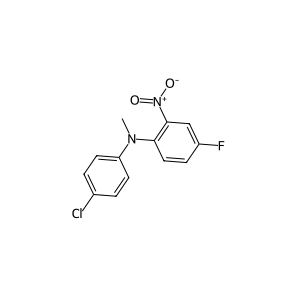 CN(c1ccc(Cl)cc1)c1ccc(F)cc1[N+](=O)[O-]